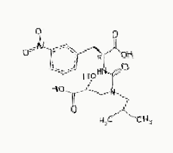 CC(C)CN(CC(O)C(=O)O)C(=O)N[C@@H](Cc1cccc([N+](=O)[O-])c1)C(=O)O